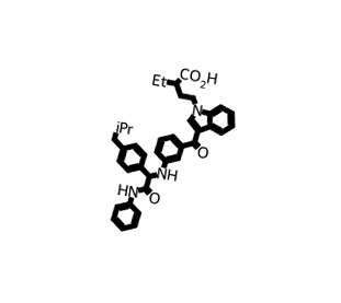 CCC(CCn1cc(C(=O)c2cccc(NC(C(=O)Nc3ccccc3)c3ccc(CC(C)C)cc3)c2)c2ccccc21)C(=O)O